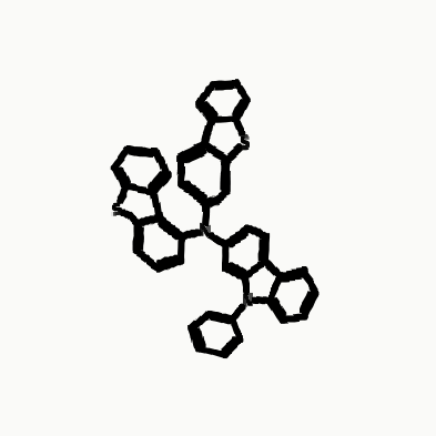 c1ccc(-n2c3ccccc3c3ccc(N(c4ccc5c(c4)sc4ccccc45)c4cccc5sc6ccccc6c45)cc32)cc1